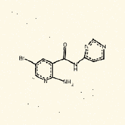 Nc1ncc(Br)cc1C(=O)Nc1ccncn1